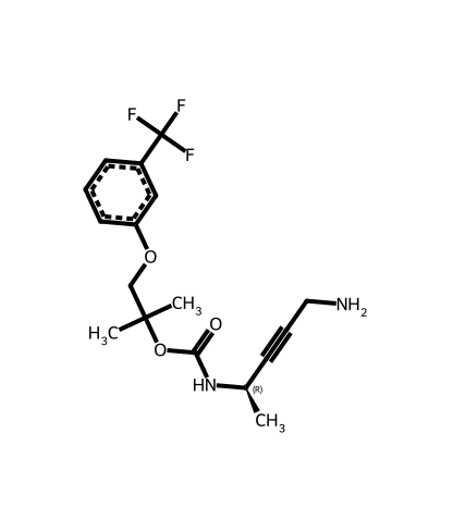 C[C@H](C#CCN)NC(=O)OC(C)(C)COc1cccc(C(F)(F)F)c1